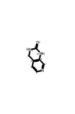 O=C1NCc2ccncc2N1